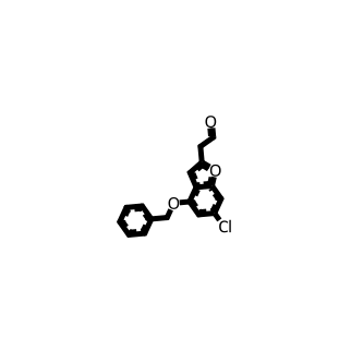 O=CCc1cc2c(OCc3ccccc3)cc(Cl)cc2o1